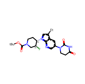 CCc1cn([C@H]2CCN(C(=O)OC(C)(C)C)C[C@@H]2F)c2ncc(N3CCC(=O)NC3=O)cc12